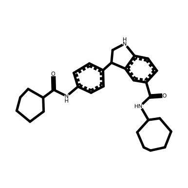 O=C(NC1CCCCCC1)c1ccc2c(c1)C(c1ccc(NC(=O)C3CCCCC3)cc1)CN2